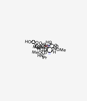 COC(=O)NC1=C2C#C/C=C\C#C[C@H](OC3OC(C)C(SC)(C(=O)c4nccc5c4oc4ccc(O)cc45)C(O)C3OC3CC(OC)C(NC(C)C)CO3)C2/C(=C\CSC(C)=O)[C@@H](O)CC1=O